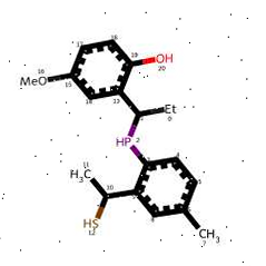 CCC(Pc1ccc(C)cc1C(C)S)c1cc(OC)ccc1O